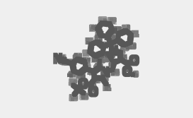 COC(=O)c1cn(C(c2ccccc2)(c2ccccc2)c2ccccc2)nc1Cn1c(C)c(C(=O)OC(C)(C)C)c(-c2ccc(C#N)cc2)c1C